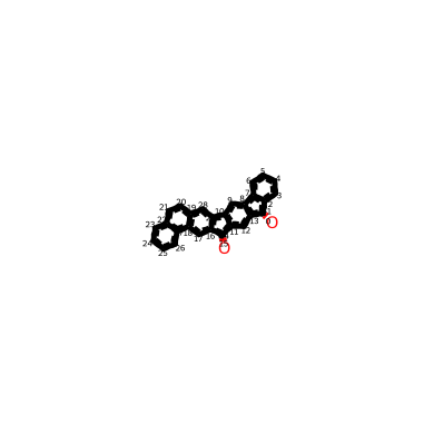 O=c1c2ccccc2c2cc3c(cc12)c(=O)c1cc2c(ccc4ccccc42)cc13